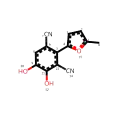 Cc1ccc(-c2c(C#N)cc(O)c(O)c2C#N)o1